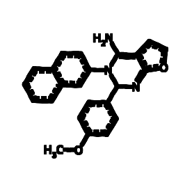 COc1ccc(C2N=c3occc3=C(N)N2c2ccc3ccccc3c2)cc1